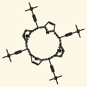 C[Si](C)(C)C#Cc1c2nc(c(C#C[Si](C)(C)C)c3ccc([nH]3)c(C#C[Si](C)(C)C)c3nc(c(C#C[Si](C)(C)C)c4ccc1[nH]4)C=C3)C=C2